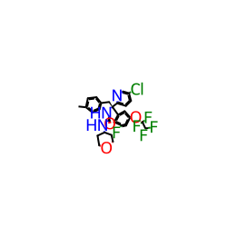 Cc1ccc(C[C@](NC(=O)NC2CCOCC2)(c2cc(F)cc(OC(F)(F)C(F)F)c2)c2ccc(Cl)cn2)cc1